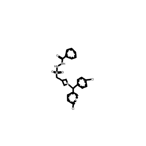 O=C(NNS(=O)(=O)CC1CN(C(c2ccc(Cl)cc2)c2ccc(Cl)cc2)C1)c1ccccc1